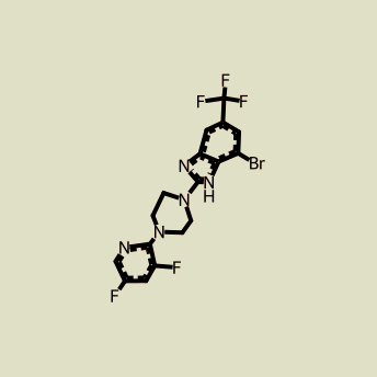 Fc1cnc(N2CCN(c3nc4cc(C(F)(F)F)cc(Br)c4[nH]3)CC2)c(F)c1